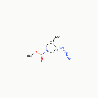 CC(=O)O[C@@H]1CN(C(=O)OC(C)(C)C)C[C@@H]1N=[N+]=[N-]